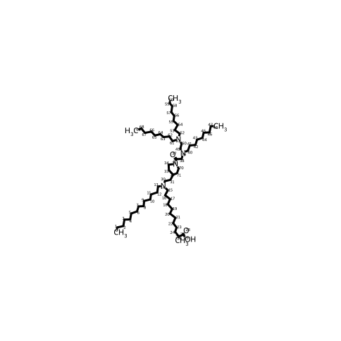 CCCCCCCCCCCCCCN(CCCCCCCCCCC(C)C(=O)O)CCC1CCN(C(=O)CN(CCCCCCCCC)CCN(CCCCCCCCC)CCCCCCCCC)CC1